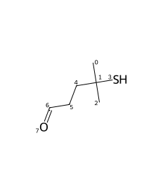 CC(C)(S)CC[C]=O